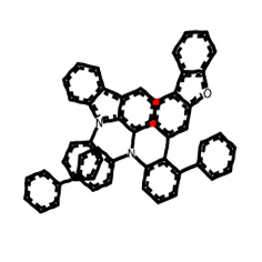 c1ccc(-c2ccc(N(c3cccc(-c4ccccc4)c3-c3ccc4c(c3)oc3ccccc34)c3cccc4c5ccccc5n(-c5ccccc5)c34)cc2)cc1